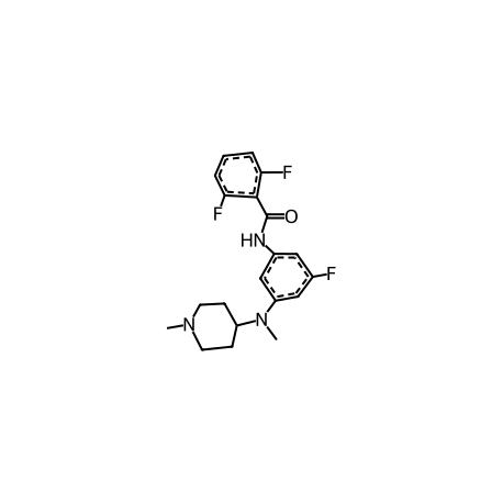 CN1CCC(N(C)c2cc(F)cc(NC(=O)c3c(F)cccc3F)c2)CC1